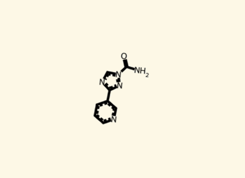 NC(=O)n1cnc(-c2cccnc2)n1